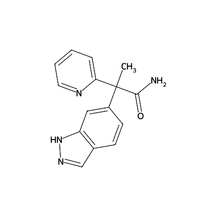 CC(C(N)=O)(c1ccc2cn[nH]c2c1)c1ccccn1